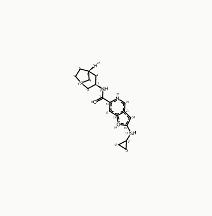 O=C(N[C@@H]1C[C@H]2CCN(C2)C1)c1cc2oc(NC3CC3)cc2cn1